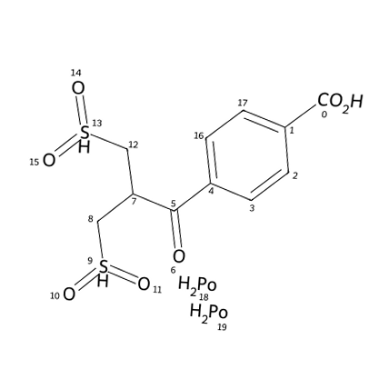 O=C(O)c1ccc(C(=O)C(C[SH](=O)=O)C[SH](=O)=O)cc1.[PoH2].[PoH2]